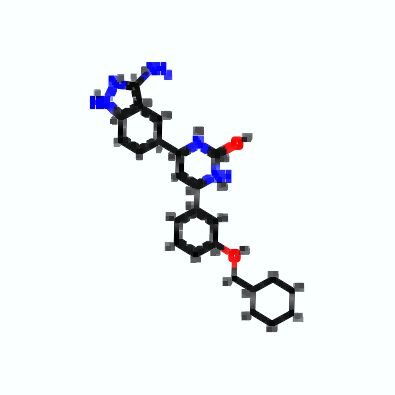 Nc1n[nH]c2ccc(-c3cc(-c4cccc(OCC5CCCCC5)c4)[nH]c(=O)n3)cc12